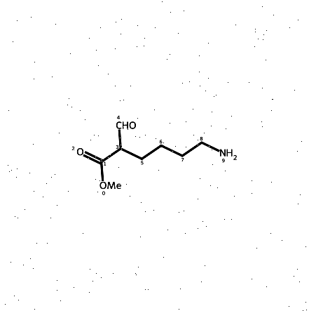 COC(=O)C(C=O)CCCCN